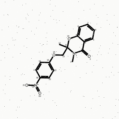 CN1C(=O)c2ccccc2OC1(C)COc1ccc([N+](=O)[O-])cc1